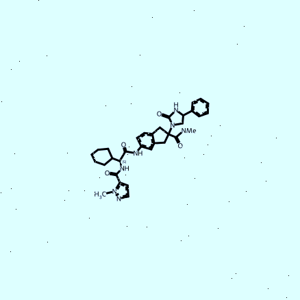 CNC(=O)C1(N2CC(c3ccccc3)NC2=O)Cc2ccc(NC(=O)[C@@H](NC(=O)c3ccnn3C)C3CCCCC3)cc2C1